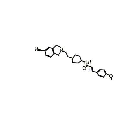 COc1ccc(/C=C/C(=O)NC2CCC(CCN3CCc4cc(C#N)ccc4C3)CC2)cc1